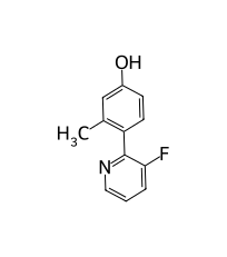 Cc1cc(O)ccc1-c1ncccc1F